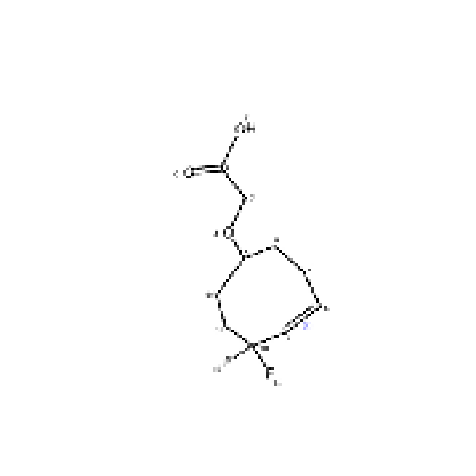 O=C(O)COC1CC/C=C\C(F)(F)CC1